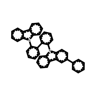 c1ccc(-c2ccc3c(c2)c2ccccc2n3-c2ccccc2-c2ccccc2-n2c3ccccc3c3ccccc32)cc1